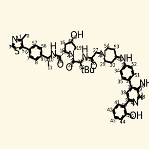 Cc1ncsc1-c1ccc([C@H](C)NC(=O)[C@@H]2C[C@@H](O)CN2C(=O)C(NC(=O)CN2CCC(Nc3ccc(-c4cc(-c5ccccc5O)nnc4N)cc3)CC2)C(C)(C)C)cc1